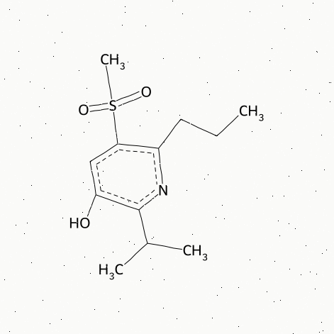 CCCc1nc(C(C)C)c(O)cc1S(C)(=O)=O